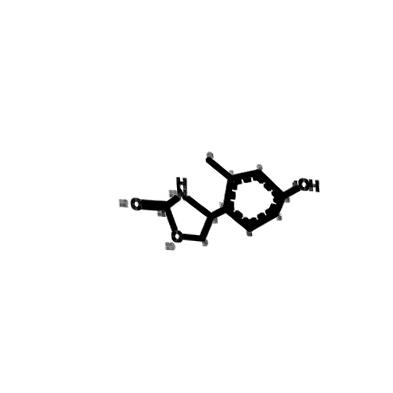 Cc1cc(O)ccc1C1COC(=O)N1